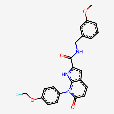 COc1cccc(CNC(=O)c2cc3ccc(=O)n(-c4ccc(OCF)cc4)c3[nH]2)c1